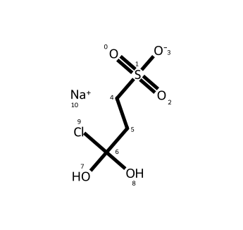 O=S(=O)([O-])CCC(O)(O)Cl.[Na+]